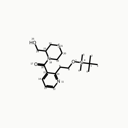 CC(C)(C)[Si](C)(C)OCCc1ncccc1C(=O)N1CCSCC1CO